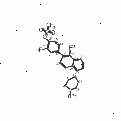 CCC[C@H]1CC[C@H](c2cccc3c(F)c(-c4ccc(OS(=O)(=O)C(F)(F)F)c(F)c4)ccc32)CC1